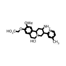 COc1cc2c(cc1OCC(=O)O)CCN1CC(c3cc(C)ccn3)C(N)CC21.Cl